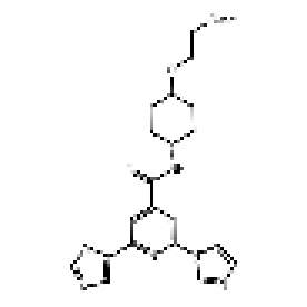 COCCO[C@H]1CC[C@H](NC(=O)c2cc(-c3cncs3)nc(-n3ccnc3)c2)CC1